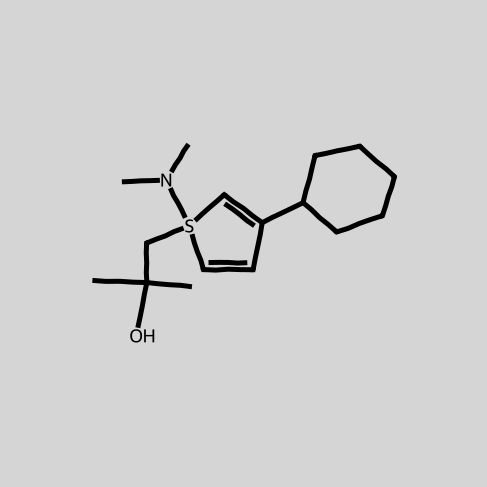 CN(C)S1(CC(C)(C)O)C=CC(C2CCCCC2)=C1